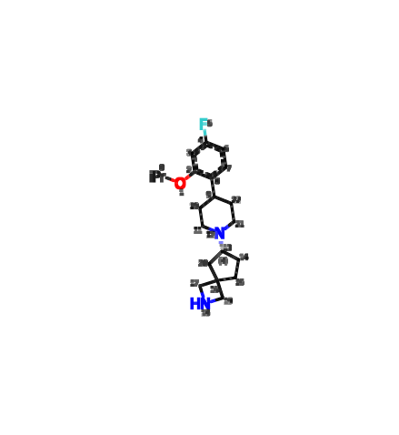 CC(C)Oc1cc(F)ccc1C1CCN([C@@H]2CCC3(CNC3)C2)CC1